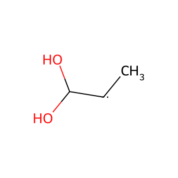 C[CH]C(O)O